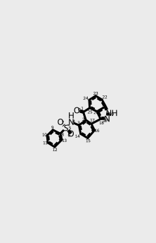 O=C1c2c(NS(=O)(=O)c3ccccc3)cccc2-c2n[nH]c3cccc1c23